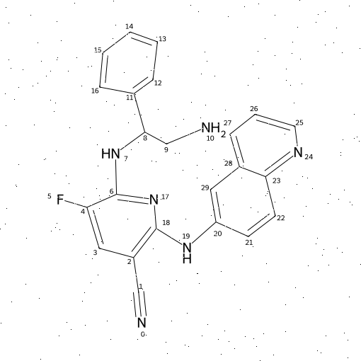 N#Cc1cc(F)c(NC(CN)c2ccccc2)nc1Nc1ccc2ncccc2c1